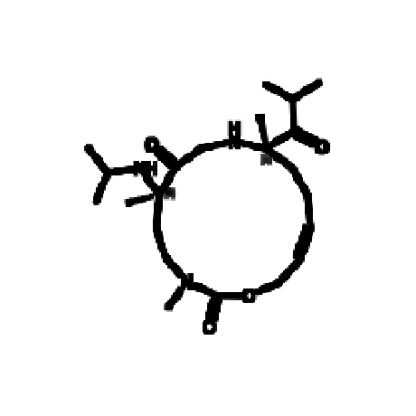 CC(C)N[C@]1(C)CCN(C)C(=O)OCC=CCC[C@@](C)(C(=O)C(C)C)NCC1=O